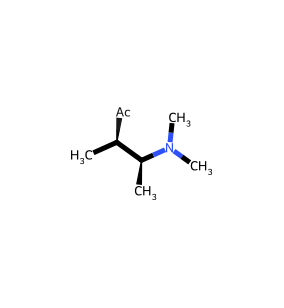 CC(=O)[C@H](C)[C@H](C)N(C)C